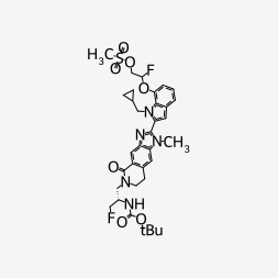 Cn1c(-c2cc3cccc(OC(F)COS(C)(=O)=O)c3n2CC2CC2)nc2cc3c(cc21)CCN(C[C@@H](CF)NC(=O)OC(C)(C)C)C3=O